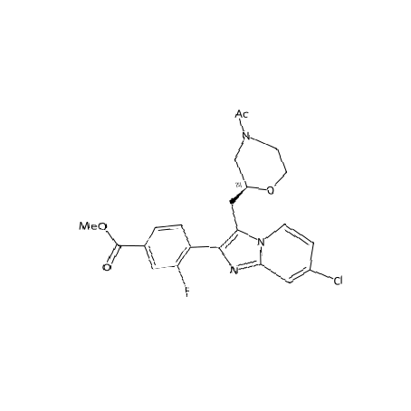 COC(=O)c1ccc(-c2nc3cc(Cl)ccn3c2C[C@H]2CN(C(C)=O)CCO2)c(F)c1